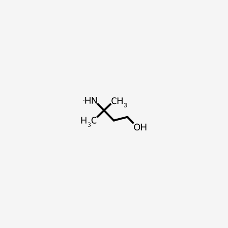 CC(C)([NH])CCO